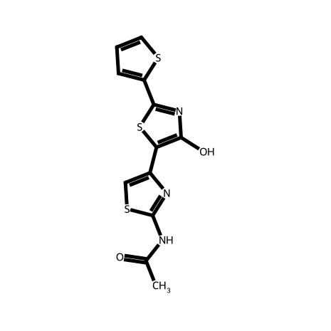 CC(=O)Nc1nc(-c2sc(-c3cccs3)nc2O)cs1